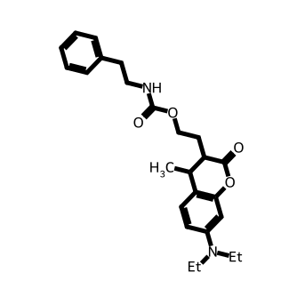 CCN(CC)c1ccc2c(c1)OC(=O)C(CCOC(=O)NCCc1ccccc1)C2C